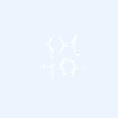 Cc1ccc(S(=O)(=O)O)cc1.O=C(O)C1CC=CCC1